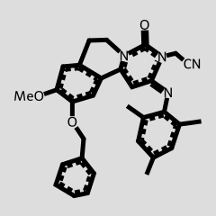 COc1cc2c(cc1OCc1ccccc1)-c1c/c(=N\c3c(C)cc(C)cc3C)n(CC#N)c(=O)n1CC2